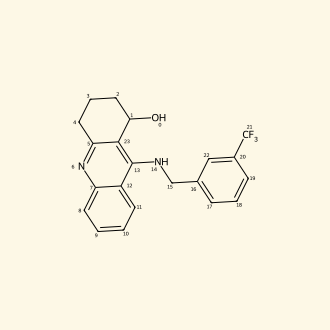 OC1CCCc2nc3ccccc3c(NCc3cccc(C(F)(F)F)c3)c21